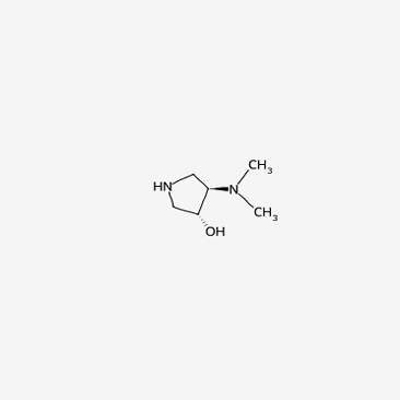 CN(C)[C@@H]1CNC[C@H]1O